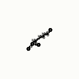 O=C(CCNC(=O)OCc1ccccc1)NCCCCCNC(=O)Cc1ccc(OCc2ccccc2)cc1OCc1ccccc1